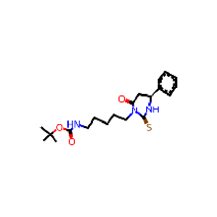 CC(C)(C)OC(=O)NCCCCCN1C(=O)C[C@@H](c2ccccc2)NC1=S